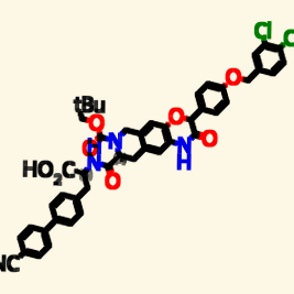 CC(C)(C)COC(=O)N1Cc2cc3c(cc2C[C@H]1C(=O)N[C@@H](Cc1ccc(-c2ccc(C#N)cc2)cc1)C(=O)O)NC(=O)C(c1ccc(OCc2ccc(Cl)c(Cl)c2)cc1)O3